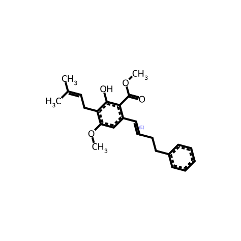 COC(=O)c1c(/C=C/CCc2ccccc2)cc(OC)c(CC=C(C)C)c1O